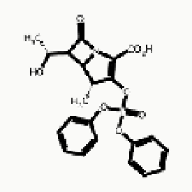 C[C@@H](O)C1C(=O)N2C(C(=O)O)=C(OP(=O)(Oc3ccccc3)Oc3ccccc3)[C@H](C)C12